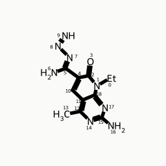 CCn1c(=O)c(/C(N)=N/N=N)cc2c(C)nc(N)nc21